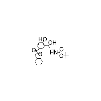 CC(C)(C)OC(=O)NCCC(O)c1cc(S(=O)(=O)CC2CCCCC2)ccc1O